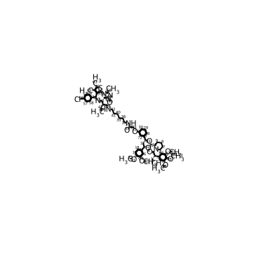 CC[C@H](C(=O)N1CCCC[C@H]1C(=O)O[C@H](CCc1ccc(OC)c(OC)c1)c1cccc(OCC(=O)NCCCCCCNC(=O)[C@H](CC)[C@@H]2N=C(c3ccc(Cl)cc3)c3c(sc(C)c3C)-n3c(C)nnc32)c1)c1cc(OC)c(OC)c(OC)c1